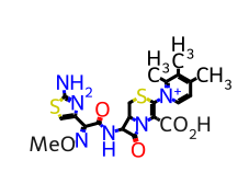 CON=C(C(=O)NC1C(=O)N2C(C(=O)O)=C([n+]3ccc(C)c(C)c3C)SCC12)c1csc(N)n1